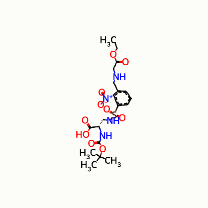 CCOC(=O)CNCc1cccc(S(=O)(=O)NC[C@H](NC(=O)OC(C)(C)C)C(=O)O)c1[N+](=O)[O-]